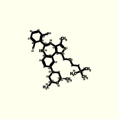 Cc1nn(COCC[Si](C)(C)C)c2c1N=C(c1c(F)cccc1F)Nc1ccc(N3C[C@H](C)O[C@@H](C)C3)cc1-2